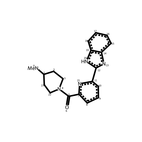 CNC1CCN(C(=O)c2cccc(-c3nc4ccccc4[nH]3)n2)CC1